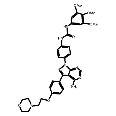 COc1cc(NC(=O)Nc2ccc(-n3nc(-c4ccc(OCCN5CCOCC5)cc4)c4c(N)ncnc43)cc2)cc(OC)c1OC